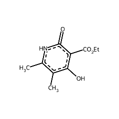 CCOC(=O)c1c(O)c(C)c(C)[nH]c1=O